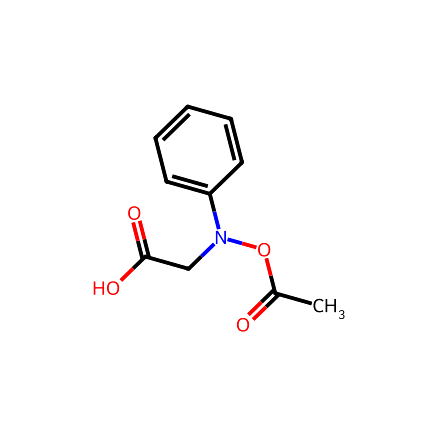 CC(=O)ON(CC(=O)O)c1ccccc1